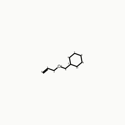 C=CCOCC1CCCCC1